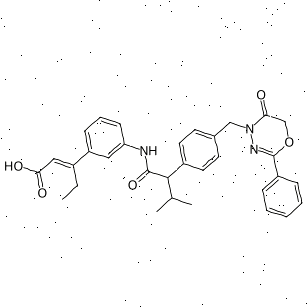 CC/C(=C\C(=O)O)c1cccc(NC(=O)C(c2ccc(CN3N=C(c4ccccc4)OCC3=O)cc2)C(C)C)c1